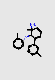 Cc1cccc(C2=CC=CC(C)(N)C2N)c1.Cc1ccccc1